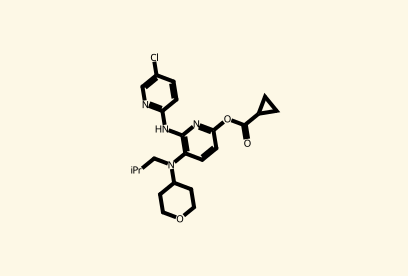 CC(C)CN(c1ccc(OC(=O)C2CC2)nc1Nc1ccc(Cl)cn1)C1CCOCC1